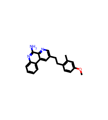 COc1ccc(CCc2cnc3c(N)nc4c[c]ccc4c3c2)c(C)c1